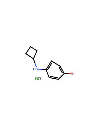 Brc1ccc(NC2CCC2)cc1.Cl